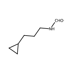 O=[C]NCCCC1CC1